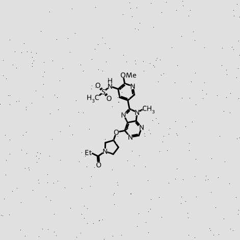 CCC(=O)N1CCC(Oc2ncnc3c2nc(-c2cnc(OC)c(NS(C)(=O)=O)c2)n3C)C1